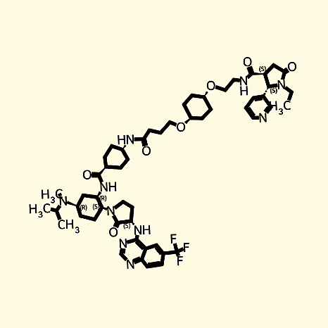 CCN1C(=O)C[C@H](C(=O)NCCO[C@H]2CC[C@H](OCCCC(=O)N[C@H]3CC[C@H](C(=O)N[C@@H]4C[C@H](N(C)C(C)C)CC[C@@H]4N4CC[C@H](Nc5ncnc6ccc(C(F)(F)F)cc56)C4=O)CC3)CC2)[C@H]1c1cccnc1